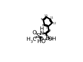 CS(=O)(=O)NC(=Cc1ccccc1)B(O)O